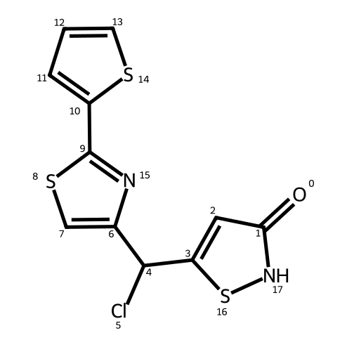 O=c1cc(C(Cl)c2csc(-c3cccs3)n2)s[nH]1